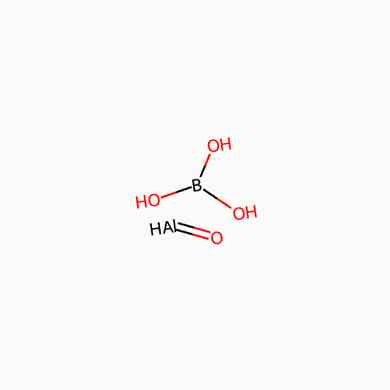 OB(O)O.[O]=[AlH]